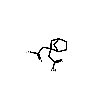 O=C(O)CC1(CC(=O)O)CC2CCC1C2